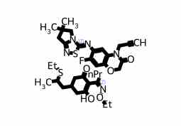 C#CCN1C(=O)COc2cc(F)c(/N=c3\snc4n3CC(C)(C)C4)cc21.CCC/C(=N/OCC)C1=C(O)CC(CC(C)SCC)CC1=O